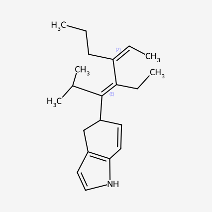 C/C=C(CCC)\C(CC)=C(/C(C)C)C1C=Cc2[nH]ccc2C1